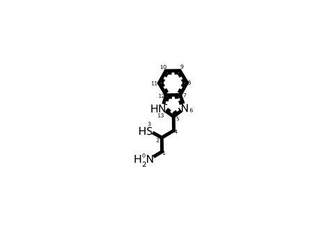 NCC(S)Cc1nc2ccccc2[nH]1